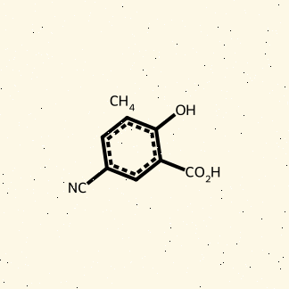 C.N#Cc1ccc(O)c(C(=O)O)c1